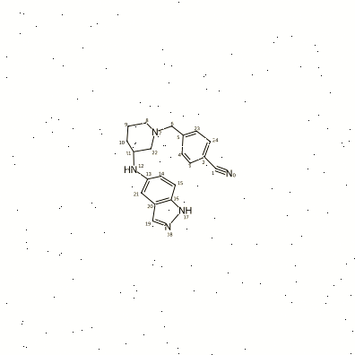 N#Cc1ccc(CN2CCCC(Nc3ccc4[nH]ncc4c3)C2)cc1